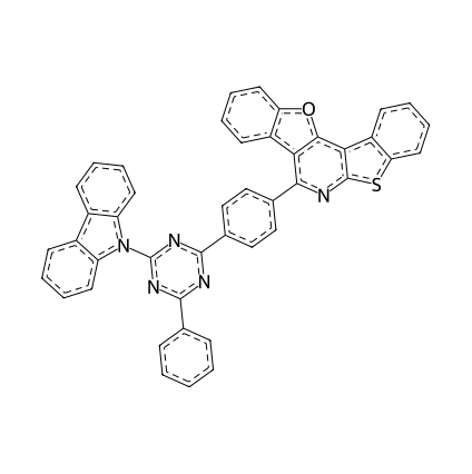 c1ccc(-c2nc(-c3ccc(-c4nc5sc6ccccc6c5c5oc6ccccc6c45)cc3)nc(-n3c4ccccc4c4ccccc43)n2)cc1